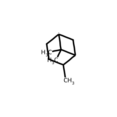 CC1CC[C]2CC1C2(C)C